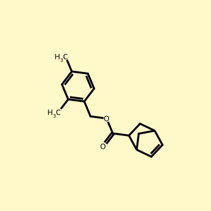 Cc1ccc(COC(=O)C2CC3C=CC2C3)c(C)c1